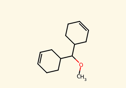 COC(C1CC=CCC1)C1CC=CCC1